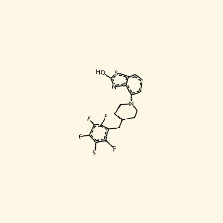 Oc1nc2c(N3CCC(Cc4c(F)c(F)c(F)c(F)c4F)CC3)cccc2s1